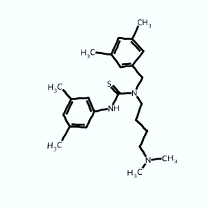 Cc1cc(C)cc(CN(CCCCN(C)C)C(=S)Nc2cc(C)cc(C)c2)c1